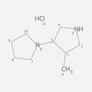 CC1CNCC1N1CCCC1.Cl